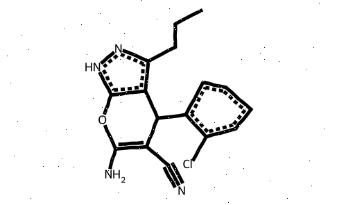 CCCc1n[nH]c2c1C(c1ccccc1Cl)C(C#N)=C(N)O2